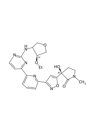 CCO[C@@H]1COCC1Nc1nccc(-c2cccc(-c3cc([C@]4(O)CCN(C)C4=O)on3)n2)n1